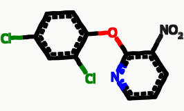 O=[N+]([O-])c1cccnc1Oc1ccc(Cl)cc1Cl